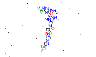 Nc1nc(N)c(C(=O)/C=C2\NCC3(CCN(C(=O)c4cccc(S(=O)(=O)N5CCCN(c6ccc(C(F)(F)F)cn6)CC5)c4)CC3)N2)nc1Cl